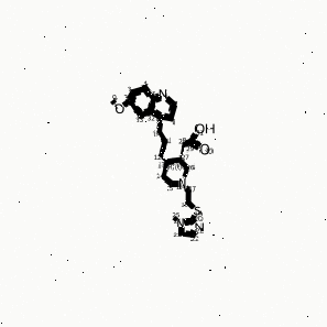 COc1ccc2nccc(CCC[C@@H]3CCN(CCSc4nccn4C)C[C@@H]3CC(=O)O)c2c1